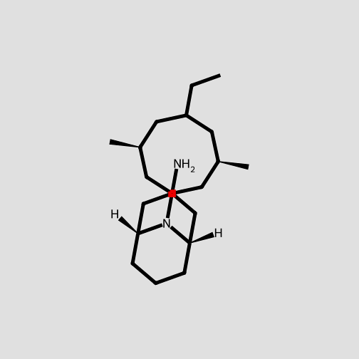 CCC1C[C@@H](C)CC(N2[C@@H]3CCC[C@H]2CC(N)C3)C[C@@H](C)C1